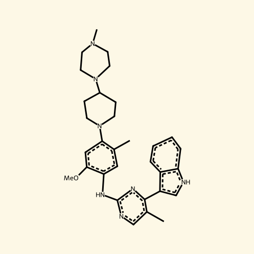 COc1cc(N2CCC(N3CCN(C)CC3)CC2)c(C)cc1Nc1ncc(C)c(-c2c[nH]c3ccccc23)n1